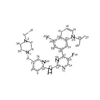 CCN1CCN(Cc2ccc(Nc3ncc(F)c(-c4cc(F)c5c(c4)N(C(C)C)C=CC5)n3)nc2)CC1